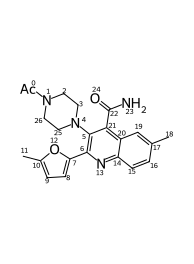 CC(=O)N1CCN(c2c(-c3ccc(C)o3)nc3ccc(C)cc3c2C(N)=O)CC1